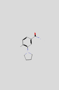 Cc1ccc(C(N)=O)cc1N1CCCC1